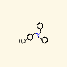 Bc1ccc(CN(Cc2ccccc2)Cc2ccccc2)cc1